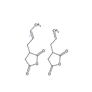 C/C=C/CC1CC(=O)OC1=O.C=CCC1CC(=O)OC1=O